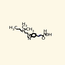 CCCCN(CCn1cnc2cc(/C=C/C(=O)NO)ccc21)C(C)C